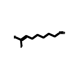 CSCCCCCC=C(F)F